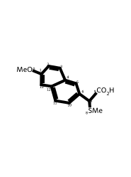 COc1ccc2cc(C(SC)C(=O)O)ccc2c1